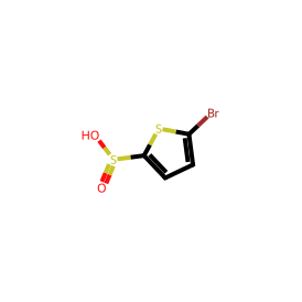 O=S(O)c1ccc(Br)s1